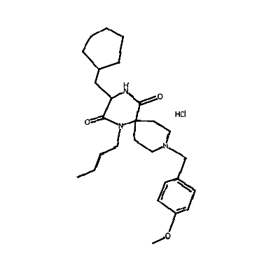 CCCCN1C(=O)C(CC2CCCCC2)NC(=O)C12CCN(Cc1ccc(OC)cc1)CC2.Cl